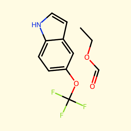 CCOC=O.FC(F)(F)Oc1ccc2[nH]ccc2c1